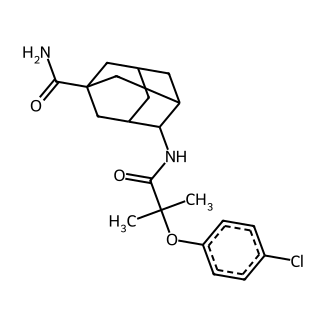 CC(C)(Oc1ccc(Cl)cc1)C(=O)NC1C2CC3CC1CC(C(N)=O)(C3)C2